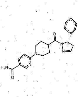 NC(=O)c1ccc(N2CCC(C(=O)N3N=CC[C@H]3c3ccccc3)CC2)nc1